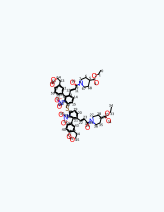 CCOC(=O)C1CCN(C(=O)/C=C/c2ccc(Sc3ccc(/C=C/C(=O)N4CCC(C(=O)OCC)CC4)c(-c4ccc5c(c4)CCOO5)c3[N+](=O)[O-])c([N+](=O)[O-])c2-c2ccc3c(c2)CCOO3)CC1